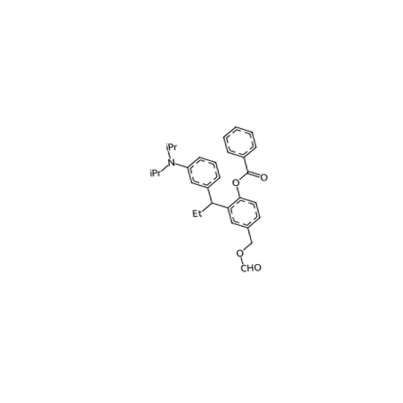 CCC(c1cccc(N(C(C)C)C(C)C)c1)c1cc(COC=O)ccc1OC(=O)c1ccccc1